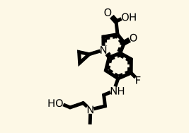 CN(CCO)CCNc1cc2c(cc1F)c(=O)c(C(=O)O)cn2C1CC1